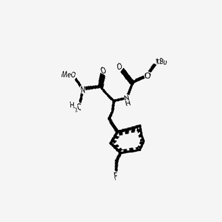 CON(C)C(=O)C(Cc1cccc(F)c1)NC(=O)OC(C)(C)C